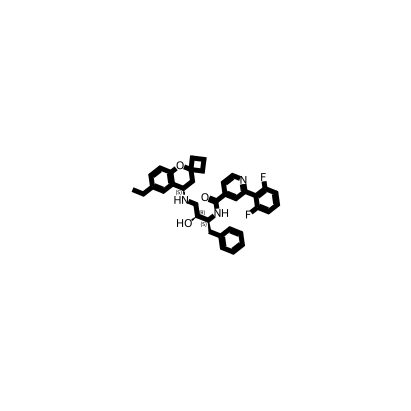 CCc1ccc2c(c1)[C@@H](NC[C@@H](O)[C@H](Cc1ccccc1)NC(=O)c1ccnc(-c3c(F)cccc3F)c1)CC1(CCC1)O2